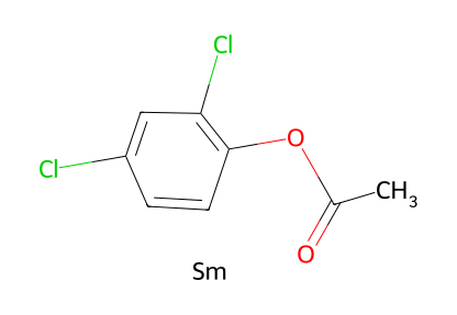 CC(=O)Oc1ccc(Cl)cc1Cl.[Sm]